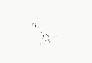 CC(C)(C)c1cc(C=Cc2n[nH]c(=O)o2)cc(C(C)(C)C)c1O